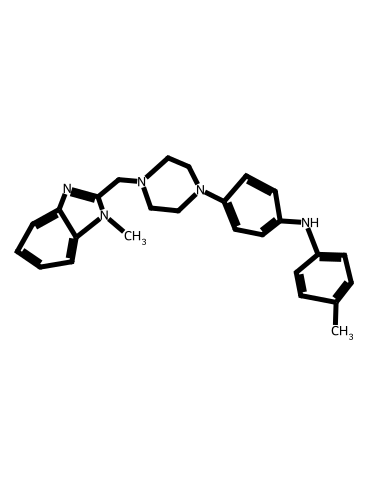 Cc1ccc(Nc2ccc(N3CCN(Cc4nc5ccccc5n4C)CC3)cc2)cc1